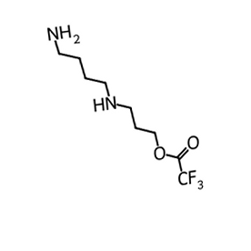 NCCCCNCCCOC(=O)C(F)(F)F